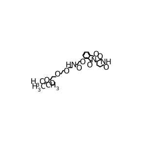 CC(C)(C)OC(=O)CCOCCOCCNC(=O)COc1cccc2c1C(=O)N(C1CCC(=O)NC1=O)C2=O